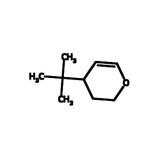 CC(C)(C)C1C=COCC1